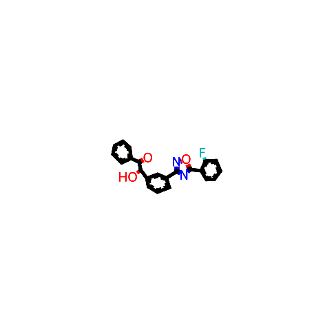 O=C(c1ccccc1)C(O)c1cccc(-c2noc(-c3ccccc3F)n2)c1